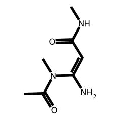 CNC(=O)/C=C(/N)N(C)C(C)=O